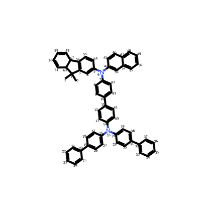 CC1(C)c2cc(N(c3ccc(-c4ccc(N(c5ccc(-c6ccccc6)cc5)c5ccc(-c6ccccc6)cc5)cc4)cc3)c3ccc4ccccc4c3)ccc2C2C=CC=CC21